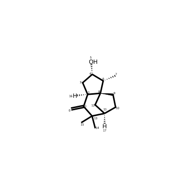 C=C1[C@H]2C[C@H](O)[C@H](C)[C@@]23CC[C@H](C3)C1(C)C